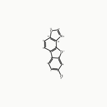 Clc1ccc2c(c1)oc1c2ccc2ocnc21